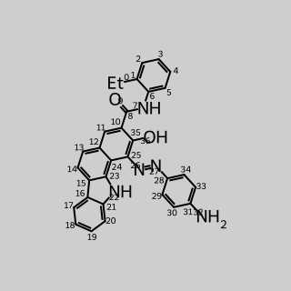 CCc1ccccc1NC(=O)c1cc2ccc3c4ccccc4[nH]c3c2c(N=Nc2ccc(N)cc2)c1O